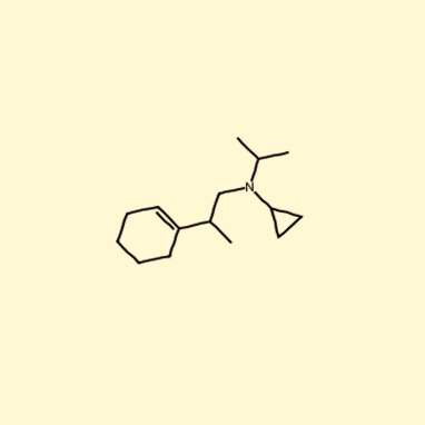 CC(CN(C(C)C)C1CC1)C1=CCCCC1